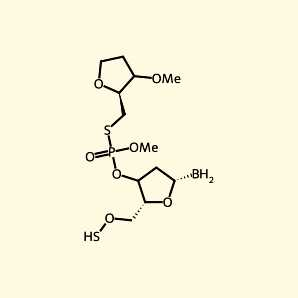 B[C@H]1CC(OP(=O)(OC)SC[C@H]2OCCC2OC)[C@@H](COS)O1